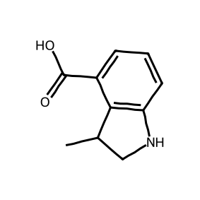 CC1CNc2cccc(C(=O)O)c21